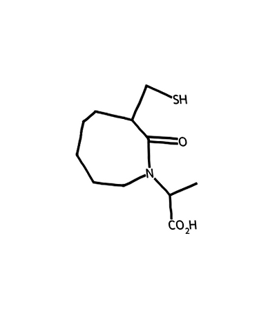 CC(C(=O)O)N1CCCCCC(CS)C1=O